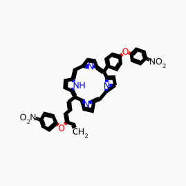 C=C\C(=C/C=C/C1=c2\cc/c([nH]2)=C/C2=NC(=C(/c3ccc(Oc4ccc([N+](=O)[O-])cc4)cc3)C3=CC4C(/C=C5/C=CC1=N5)N34)/C=C2)Oc1ccc([N+](=O)[O-])cc1